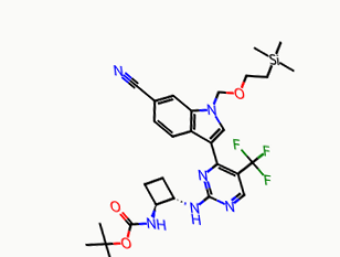 CC(C)(C)OC(=O)N[C@H]1CC[C@@H]1Nc1ncc(C(F)(F)F)c(-c2cn(COCC[Si](C)(C)C)c3cc(C#N)ccc23)n1